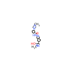 CN1CCN(c2cccc(C(=O)Nc3cc4cc(-c5cnn(C)c5CO)ccc4cn3)c2)CC1